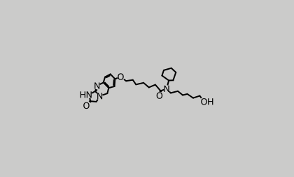 O=C1CN2Cc3cc(OCCCCCCC(=O)N(CCCCCCO)C4CCCCC4)ccc3N=C2N1